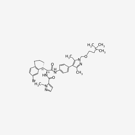 Cc1nn(COCCS(C)(C)C)c(C)c1-c1ccc(NC(=O)[C@@H](NC(=O)c2ccnn2C)[C@H]2CCCc3ccc(Br)cc32)cc1